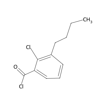 CCCCc1cccc(C(=O)Cl)c1Cl